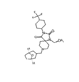 CCN1C(=O)N(C2CCC(C(F)(F)F)CC2)C(=O)C12CCN(CC1C[C@H]3CC[C@@H](C1)O3)CC2